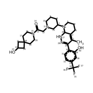 CC1=C2CCCN(C3CCCN(CC(=O)N4CCC5(CC4)CC(O)C5)C3)C2NN=C1c1ccc(C(F)(F)F)cc1O